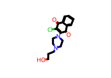 O=C1C(Cl)=C(N2CCN(CCCO)CC2)C(=O)c2ccccc21